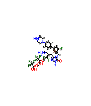 NCC(Cc1n[nH]c(=O)n1Cc1sc(-c2ccc(N3CCNCC3)cc2)cc1F)=C(F)F.O=C(O)C(F)(F)F.O=C(O)C(F)(F)F